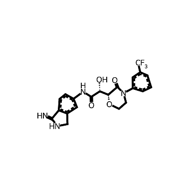 N=C1NCc2cc(NC(=O)[C@H](O)[C@H]3OCCN(c4cccc(C(F)(F)F)c4)C3=O)ccc21